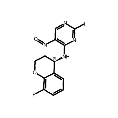 O=Nc1cnc(I)nc1N[C@@H]1CCOc2c(F)cccc21